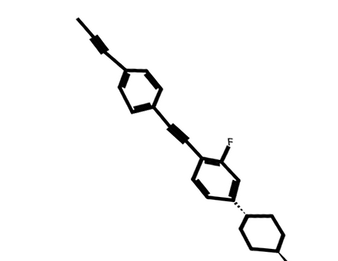 CC#Cc1ccc(C#Cc2ccc([C@H]3CC[C@H](CCC)CC3)cc2F)cc1